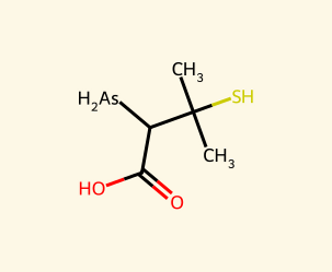 CC(C)(S)C([AsH2])C(=O)O